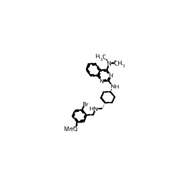 COc1ccc(Br)c(CNC[C@H]2CC[C@@H](Nc3nc(N(C)C)c4ccccc4n3)CC2)c1